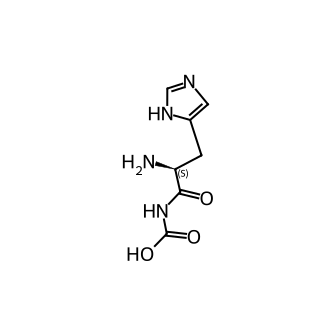 N[C@@H](Cc1cnc[nH]1)C(=O)NC(=O)O